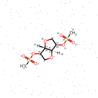 CS(=O)(=O)O[C@@H]1CO[C@H]2[C@H]1OC[C@H]2OS(C)(=O)=O